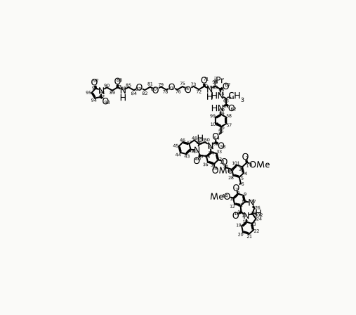 COC(=O)c1cc(COc2cc3c(cc2OC)C(=O)N2c4ccccc4C[C@H]2C=N3)cc(COc2cc3c(cc2OC)C(=O)N2c4ccccc4C[C@H]2CN3C(=O)OCc2ccc(NC(=O)[C@H](C)NC(=O)[C@@H](NC(=O)CCOCCOCCOCCOCCNC(=O)CCN3C(=O)C=CC3=O)C(C)C)cc2)c1